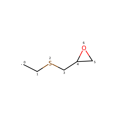 [CH2]CSCC1CO1